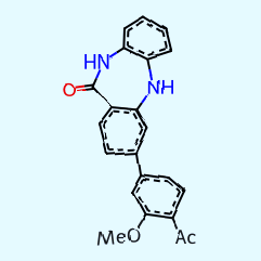 COc1cc(-c2ccc3c(c2)Nc2ccccc2NC3=O)ccc1C(C)=O